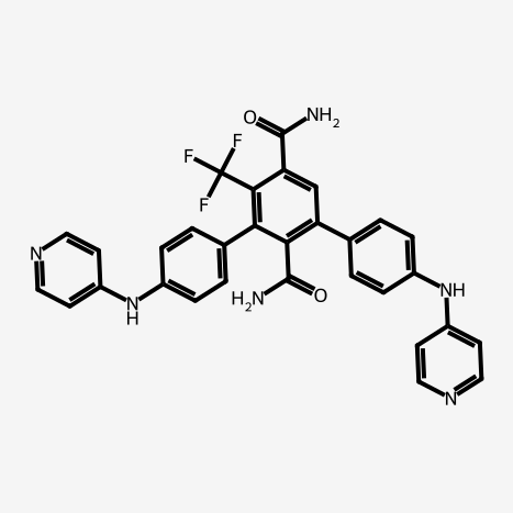 NC(=O)c1cc(-c2ccc(Nc3ccncc3)cc2)c(C(N)=O)c(-c2ccc(Nc3ccncc3)cc2)c1C(F)(F)F